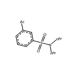 CCCN(CCC)S(=O)(=O)c1cccc(C(C)=O)c1